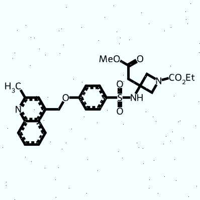 CCOC(=O)N1CC(CC(=O)OC)(NS(=O)(=O)c2ccc(OCc3cc(C)nc4ccccc34)cc2)C1